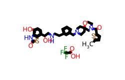 Cc1ccc(C(=O)N2CCOC3(CCN(Cc4cccc(CCNC[C@H](O)c5ccc(O)c6[nH]c(=O)sc56)c4)CC3)C2)s1.O=C(O)C(F)(F)F